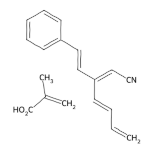 C=C(C)C(=O)O.C=CC=CC(C=Cc1ccccc1)=CC#N